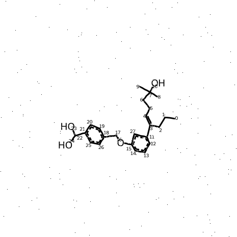 CCCC(=CCCC(C)(C)O)c1cccc(OCc2ccc(C(O)O)cc2)c1